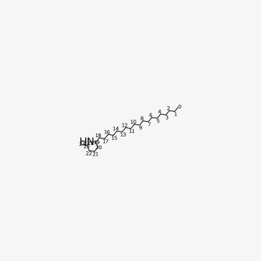 CCCCCCCCCCCCCCCCCCCC1CCCC(C)N1